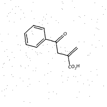 C=C(CC(=O)c1ccccc1)C(=O)O